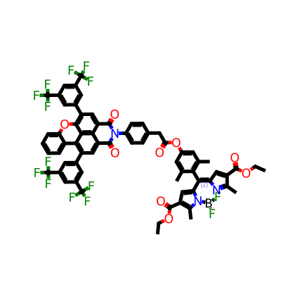 CCOC(=O)C1=C/C(=C(\c2c(C)cc(OC(=O)Cc3ccc(-n4c(=O)c5cc(-c6cc(C(F)(F)F)cc(C(F)(F)F)c6)c6oc7ccccc7c7c(-c8cc(C(F)(F)F)cc(C(F)(F)F)c8)cc(c4=O)c5c67)cc3)cc2C)c2cc(C(=O)OCC)c(C)n2B(F)F)N=C1C